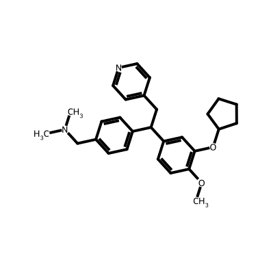 COc1ccc(C(Cc2ccncc2)c2ccc(CN(C)C)cc2)cc1OC1CCCC1